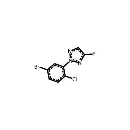 Fc1cnn(-c2cc(Br)ccc2Cl)n1